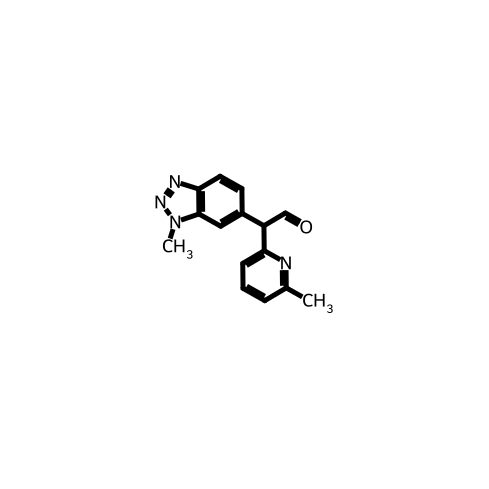 Cc1cccc(C(C=O)c2ccc3nnn(C)c3c2)n1